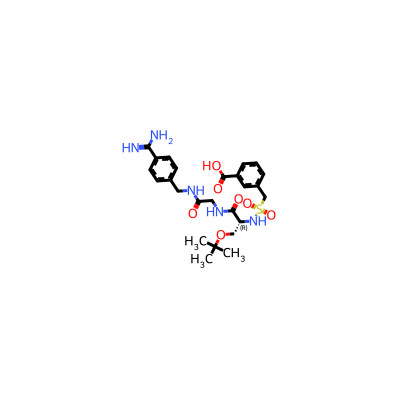 CC(C)(C)OC[C@@H](NS(=O)(=O)Cc1cccc(C(=O)O)c1)C(=O)NCC(=O)NCc1ccc(C(=N)N)cc1